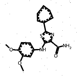 COc1ccc(Nc2sc(-c3ccccc3)nc2C(N)=O)cc1OC